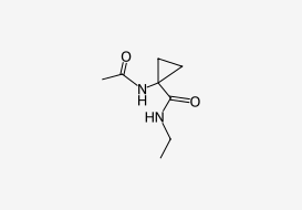 CCNC(=O)C1(NC(C)=O)CC1